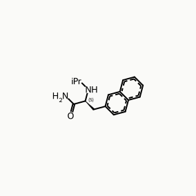 CC(C)N[C@@H](Cc1ccc2ccccc2c1)C(N)=O